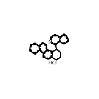 Cl.c1ccc2c(C3CCCc4ccc5c(ccc6ccccc65)c43)nccc2c1